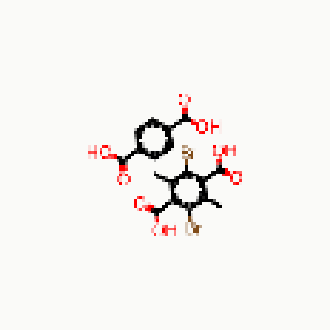 Cc1c(Br)c(C(=O)O)c(C)c(Br)c1C(=O)O.O=C(O)c1ccc(C(=O)O)cc1